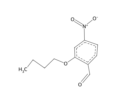 CCCCOc1cc([N+](=O)[O-])ccc1C=O